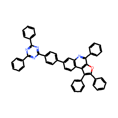 c1ccc(-c2nc(-c3ccccc3)nc(-c3ccc(-c4ccc5c(c4)nc(-c4ccccc4)c4oc(-c6ccccc6)c(-c6ccccc6)c45)cc3)n2)cc1